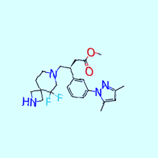 COC(=O)C[C@H](CN1CCC2(CNC2)C(F)(F)C1)c1cccc(-n2nc(C)cc2C)c1